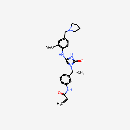 C=CC(=O)Nc1cccc([C@@H](C)n2cc(Nc3ccc(CN4CCCC4)cc3OC)[nH]c2=O)c1